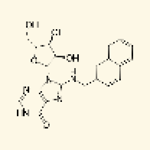 O=c1[nH]cnc2c1nc(NCc1ccc3ccccc3c1)n2[C@@H]1O[C@H](CO)[C@@H](O)[C@H]1O